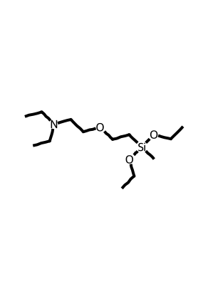 CCO[Si](C)(CCOCCN(CC)CC)OCC